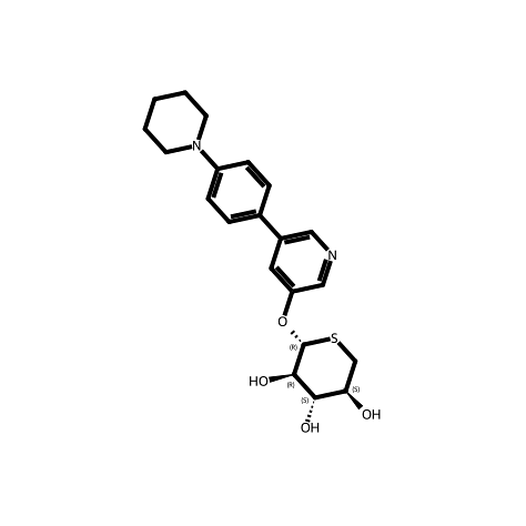 O[C@@H]1[C@@H](O)[C@H](Oc2cncc(-c3ccc(N4CCCCC4)cc3)c2)SC[C@H]1O